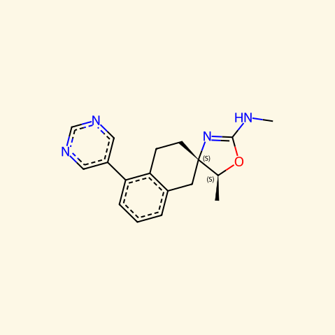 CNC1=N[C@]2(CCc3c(cccc3-c3cncnc3)C2)[C@H](C)O1